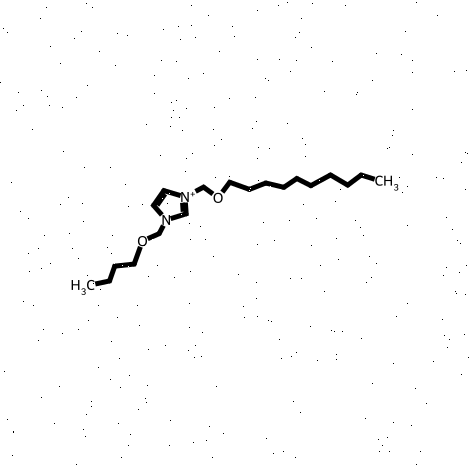 CCCCCCCCCCOC[n+]1ccn(COCCCC)c1